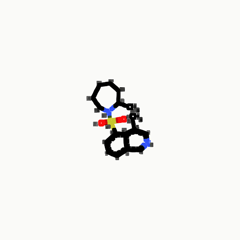 Cc1cncc2cccc(S(=O)(=O)N3CCCCCC3C)c12